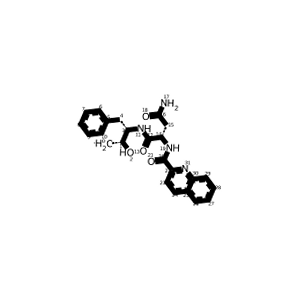 [CH2][C@@H](O)[C@H](Cc1ccccc1)NC(=O)[C@H](CC(N)=O)NC(=O)c1ccc2ccccc2n1